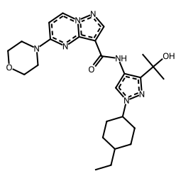 CCC1CCC(n2cc(NC(=O)c3cnn4ccc(N5CCOCC5)nc34)c(C(C)(C)O)n2)CC1